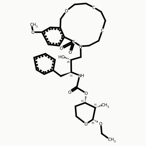 CCO[C@@H]1OCC[C@H](OC(=O)N[C@@H](Cc2ccccc2)[C@H](O)CN2CCCCCCCCOCc3cc(OC)ccc3S2(=O)=O)[C@@H]1C